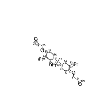 CCCC(C)(c1ccc(OCC2CO2)c(C(C)C)c1)c1ccc(OCC2CO2)c(C(C)C)c1